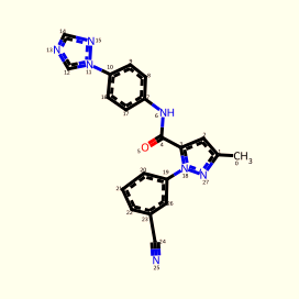 Cc1cc(C(=O)Nc2ccc(-n3cncn3)cc2)n(-c2cccc(C#N)c2)n1